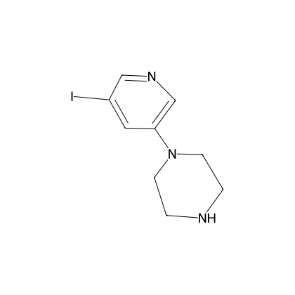 Ic1cncc(N2CCNCC2)c1